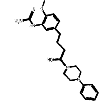 COc1ccc(CCCC(O)N2CCN(c3ccccc3)CC2)cc1NC(N)=S